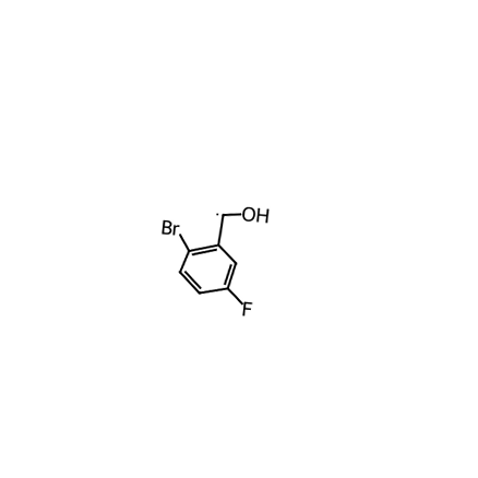 O[CH]c1cc(F)ccc1Br